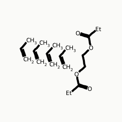 C=CC.C=CC.C=CC.C=CC.CCC(=O)OCCOC(=O)CC